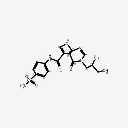 NS(=O)(=O)c1ccc(NC(=O)c2coc3ncn(CC(O)CO)c(=O)c23)cc1